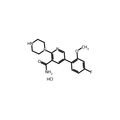 COc1cc(F)ccc1-c1cnc(N2CCNCC2)c(C(N)=O)c1.Cl